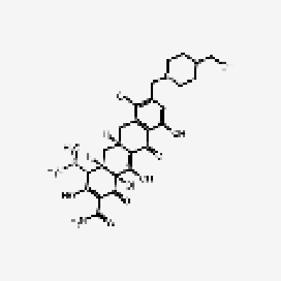 CN(C)[C@@H]1C(O)=C(C(N)=O)C(=O)[C@@]2(O)C(O)=C3C(=O)c4c(O)cc(CN5CCC(CO)CC5)c(Cl)c4C[C@H]3C[C@@H]12